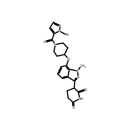 CC(C)n1nccc1C(=O)N1CCC(Oc2cccc3c(C4CCC(=O)NC4=O)nn(C)c23)CC1